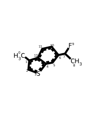 Cc1csc2cc(C(C)F)ccc12